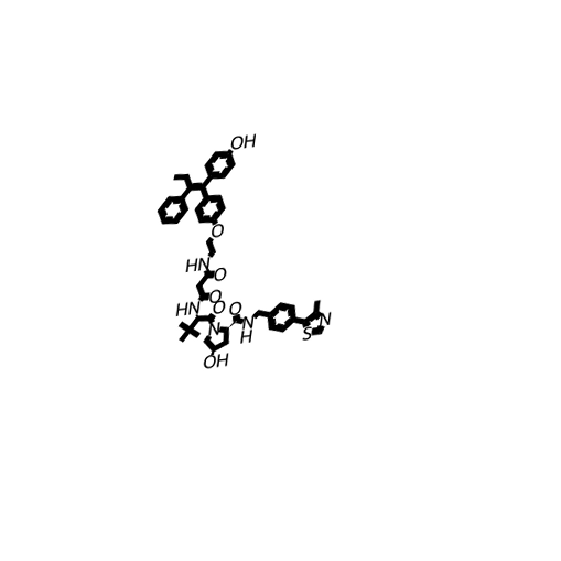 CC/C(=C(\c1ccc(O)cc1)c1ccc(OCCNC(=O)CC(=O)N[C@H](C(=O)N2C[C@H](O)C[C@H]2C(=O)NCc2ccc(-c3scnc3C)cc2)C(C)(C)C)cc1)c1ccccc1